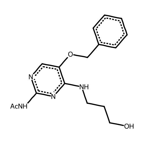 CC(=O)Nc1ncc(OCc2ccccc2)c(NCCCO)n1